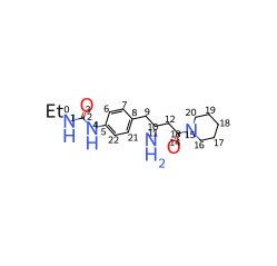 CCNC(=O)Nc1ccc(C[C@@H](N)CC(=O)N2CCCCC2)cc1